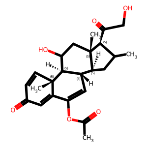 CC(=O)OC1=C[C@H]2[C@@H]3CC(C)[C@H](C(=O)CO)[C@@]3(C)CC(O)[C@@H]2[C@@]2(C)C=CC(=O)C=C12